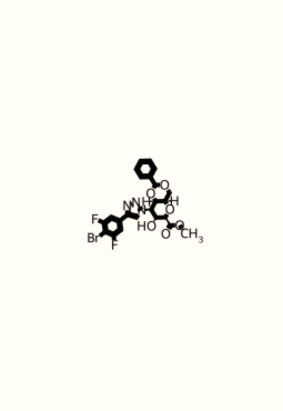 COC(=O)[C@@H]1O[C@@H]2COC(c3ccccc3)O[C@@H]2[C@H](n2cc(-c3cc(F)c(Br)c(F)c3)nn2)[C@H]1O